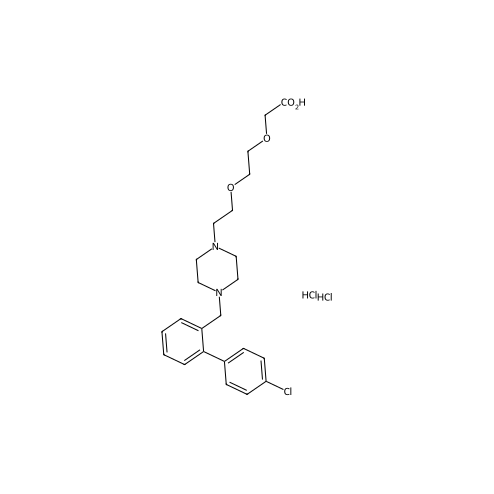 Cl.Cl.O=C(O)COCCOCCN1CCN(Cc2ccccc2-c2ccc(Cl)cc2)CC1